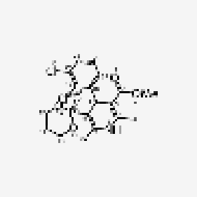 COC(=O)C1=C(C)NC(C)=C(P2(=O)OCCCO2)C1c1cccc(Cl)c1Cl